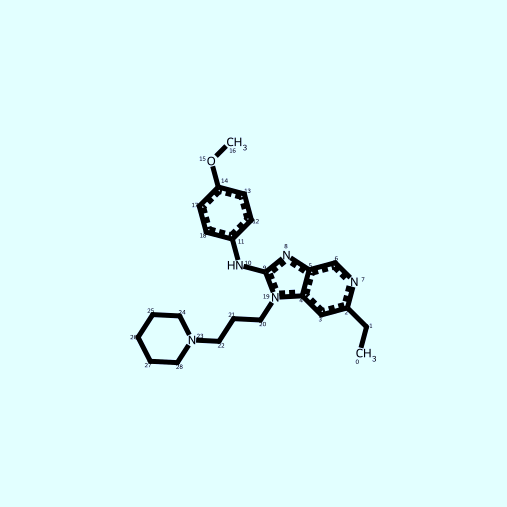 CCc1cc2c(cn1)nc(Nc1ccc(OC)cc1)n2CCCN1CCCCC1